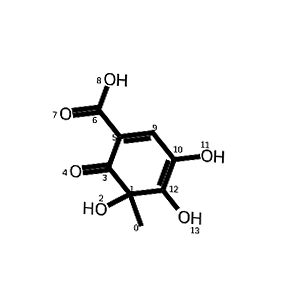 CC1(O)C(=O)C(C(=O)O)=CC(O)=C1O